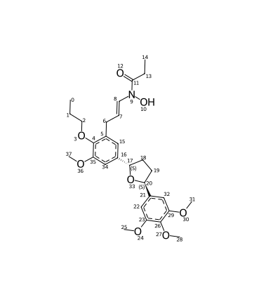 CCCOc1c(CC=CN(O)C(=O)CC)cc([C@@H]2CC[C@@H](c3cc(OC)c(OC)c(OC)c3)O2)cc1OC